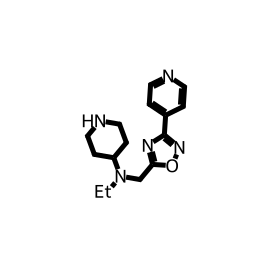 CCN(Cc1nc(-c2ccncc2)no1)C1CCNCC1